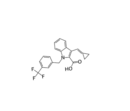 O=C(O)c1c(C=C2CC2)c2ccccc2n1Cc1cccc(C(F)(F)F)c1